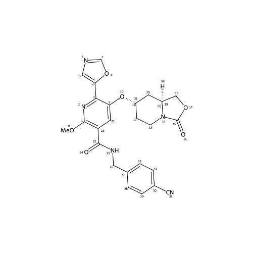 COc1nc(-c2cnco2)c(O[C@H]2CCN3C(=O)OC[C@@H]3C2)cc1C(=O)NCc1ccc(C#N)cc1